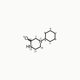 O=C1CN(C2CCCCC2)CCN1